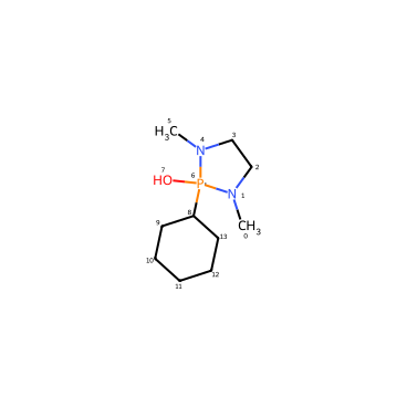 CN1CCN(C)[P]1(O)C1CCCCC1